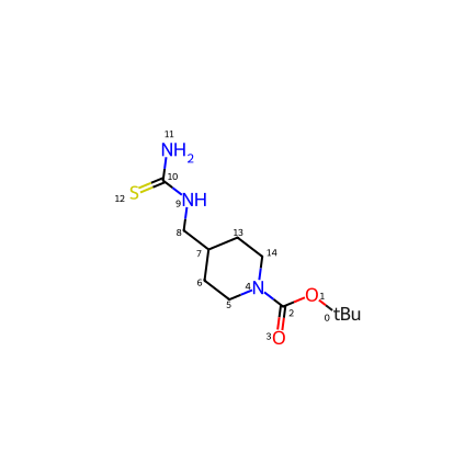 CC(C)(C)OC(=O)N1CCC(CNC(N)=S)CC1